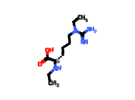 CCN[C@@H](CCCCN(CC)C(=N)N)C(=O)O